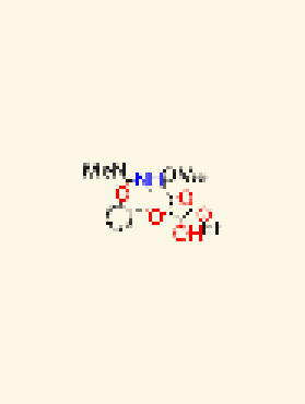 CCO[C@H]1O[C@H]([C@@H](CNC(=O)NC)OC)[C@H](OCc2ccccc2)[C@H]1O